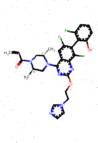 C=CC(=O)N1C[C@H](C)N(c2nc(OCCn3ccnc3)nc3c(F)c(-c4c(O)cccc4F)c(Cl)cc23)C[C@H]1C